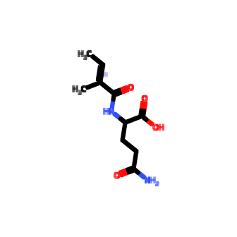 C/C=C(\C)C(=O)NC(CCC(N)=O)C(=O)O